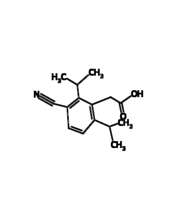 CC(C)c1ccc(C#N)c(C(C)C)c1CC(=O)O